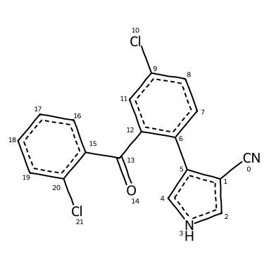 N#Cc1c[nH]cc1-c1ccc(Cl)cc1C(=O)c1ccccc1Cl